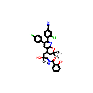 CC(O)(CNC(=O)c1ccccc1O)CC1CC(C)(C)Oc2nc(-c3ccc(C#N)cc3Cl)c(-c3ccc(Cl)cc3)cc21